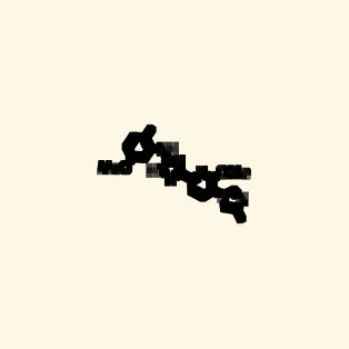 COc1ccc(C)c(Nc2nc(-c3ccc(-n4cnc(C)c4)c(OC)n3)n[nH]2)c1